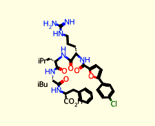 CC[C@H](C)[C@H](NC(=O)[C@H](CC(C)C)NC(=O)[C@H](CCCNC(=N)N)NC(=O)c1ccc(-c2ccc(Cl)cc2)o1)C(=O)N[C@@H](Cc1ccccc1)C(=O)O